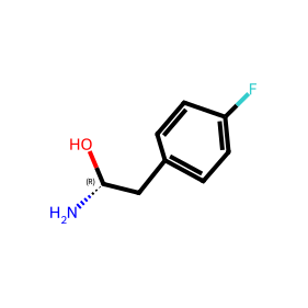 N[C@H](O)Cc1ccc(F)cc1